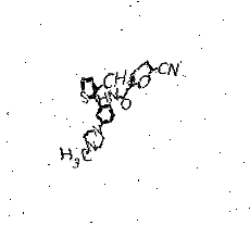 Cc1ccsc1-c1cc(N2CCN(C)CC2)ccc1NC(=O)C1=CCC(C#N)O1